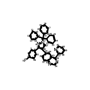 Fc1ccc(-c2nn(C(c3ccccc3)(c3ccccc3)C3C=CC=CC3)cc2-c2ccc3ncnc(-c4ccccn4)c3c2)cc1